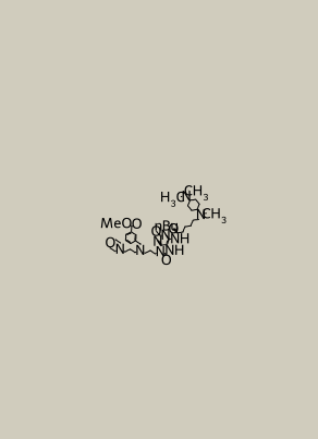 CCCCOc1nc(NC(=O)CCCCCN(C)[C@H]2CC[C@@H](N(C)C)CC2)c2[nH]c(=O)n(CCCN(CCCN3CCOCC3)Cc3cccc(C(=O)OC)c3)c2n1